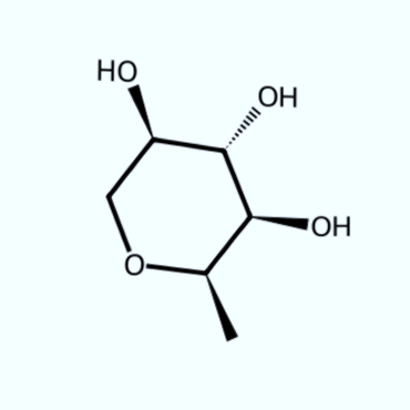 C[C@H]1OC[C@@H](O)[C@H](O)[C@H]1O